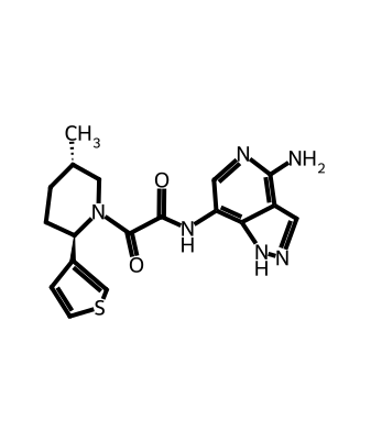 C[C@H]1CC[C@H](c2ccsc2)N(C(=O)C(=O)Nc2cnc(N)c3cn[nH]c23)C1